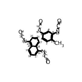 Cc1ccc(N=C=O)cc1N=C=O.O=C=Nc1cccc2c(N=C=O)cccc12